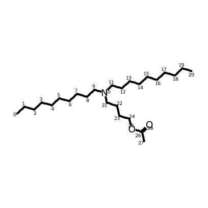 CCCCCCCCCCN(CCCCCCCCCC)CCCCOC(C)=O